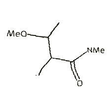 [CH2]C(C(=O)NC)C(C)OC